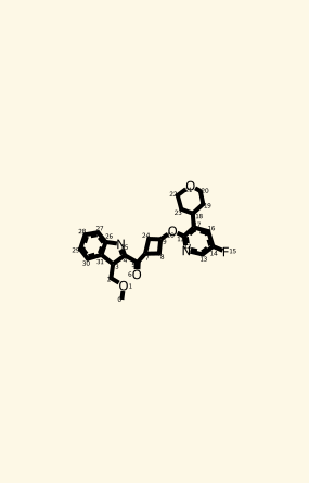 COCC1C(C(=O)C2CC(Oc3ncc(F)cc3C3CCOCC3)C2)=Nc2ccccc21